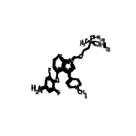 CN1CC=C(c2cn(COCC[Si](C)(C)C)c3nccc(Oc4c(F)cc(N)cc4F)c23)CC1